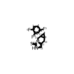 Fc1ccc(F)c([C@]23CC2Cc2c[nH]c(=S)n2C3)c1F